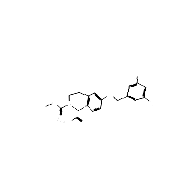 COC(=O)[C@H]1c2ccc(OCc3cc(C)cc(Cl)c3)cc2CCN1C(=O)OC(C)(C)C